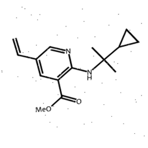 C=Cc1cnc(NC(C)(C)C2CC2)c(C(=O)OC)c1